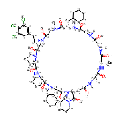 CC[C@H](C)[C@@H]1NC(=O)[C@H](C)N(C)C(=O)C[C@@H](C(=O)N2CCCCC2)N(C)C(=O)[C@H](C2CCCCC2)N(C)C(=O)C2(CCCC2)NC(=O)[C@@H]2CCCN2C(=O)[C@H](CCc2cc(Cl)c(Cl)c(Cl)c2)NC(=O)CN(C)C(=O)[C@H](CC2CCCCC2)N(C)C(=O)CN(C)C(=O)CN(C)C1=O